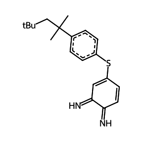 CC(C)(C)CC(C)(C)c1ccc(SC2=CC(=N)C(=N)C=C2)cc1